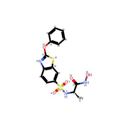 CC(C)[C@@H](NS(=O)(=O)c1ccc2nc(Oc3ccccc3)sc2c1)C(=O)NO